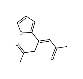 CC(=O)C=C(CC(C)=O)c1ccco1